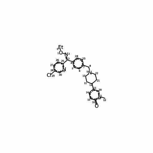 CCO/N=C(/c1ccc(CN2CCC(c3ccc(=O)n(C)c3)CC2)cc1)c1ccc(Cl)cn1